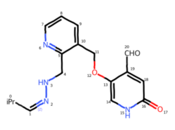 CC(C)/C=N\NCc1ncccc1COc1c[nH]c(=O)cc1C=O